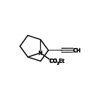 C#CC1CC2CCC1N2C(=O)OCC